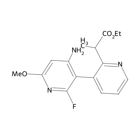 CCOC(=O)C(C)c1ncccc1-c1c(N)cc(OC)nc1F